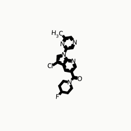 Cc1cncc(-n2cc(Cl)c3cc(C(=O)N4CCC(F)CC4)cnc32)n1